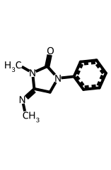 C/N=C1\CN(c2ccccc2)C(=O)N1C